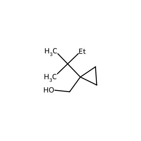 CCC(C)(C)C1(CO)CC1